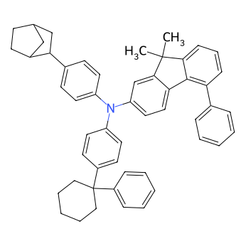 CC1(C)c2cc(N(c3ccc(C4CC5CCC4C5)cc3)c3ccc(C4(c5ccccc5)CCCCC4)cc3)ccc2-c2c(-c3ccccc3)cccc21